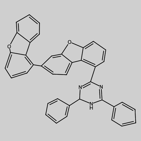 c1ccc(C2=NC(c3cccc4oc5cc(-c6cccc7oc8ccccc8c67)ccc5c34)=NC(c3ccccc3)N2)cc1